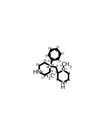 CN1CCNC[C@@]1(C)C[N+]1(c2ccccc2)CCNCC1